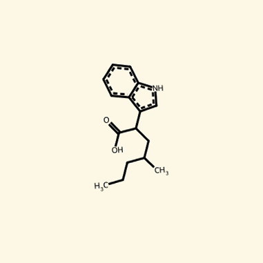 CCCC(C)CC(C(=O)O)c1c[nH]c2ccccc12